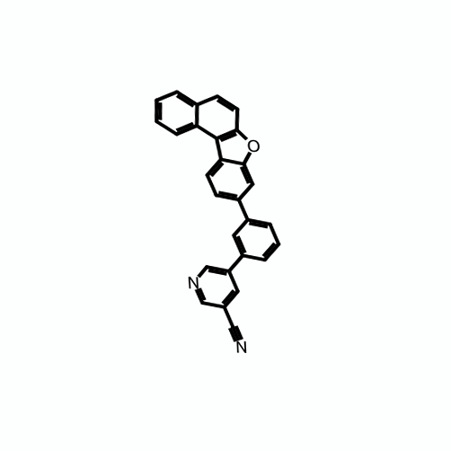 N#Cc1cncc(-c2cccc(-c3ccc4c(c3)oc3ccc5ccccc5c34)c2)c1